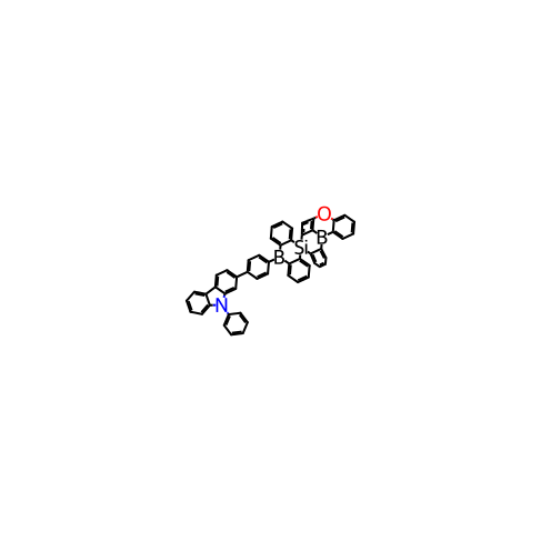 c1ccc(-n2c3ccccc3c3ccc(-c4ccc(B5c6ccccc6[Si]6(c7ccccc75)c5ccccc5B5c7ccccc7Oc7cccc6c75)cc4)cc32)cc1